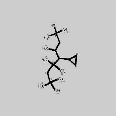 CC(CC(C)(C)O)C(C1CC1)C(C)(C)CC(C)(C)O